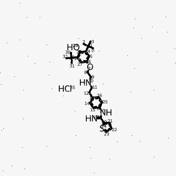 CC(C)(C)c1cc(OCCNCCc2ccc(NC(=N)c3cccs3)cc2)cc(C(C)(C)C)c1O.Cl